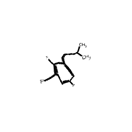 CC(C)Cc1cc(F)cc(F)c1F